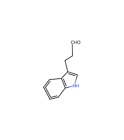 O=CCCc1c[nH]c2c1C=C=C=C2